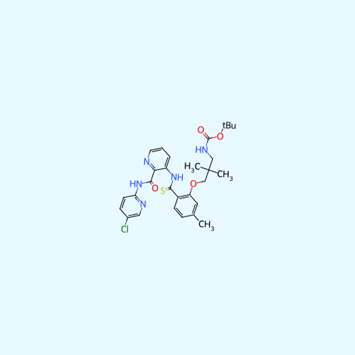 Cc1ccc(C(=S)Nc2cccnc2C(=O)Nc2ccc(Cl)cn2)c(OCC(C)(C)CNC(=O)OC(C)(C)C)c1